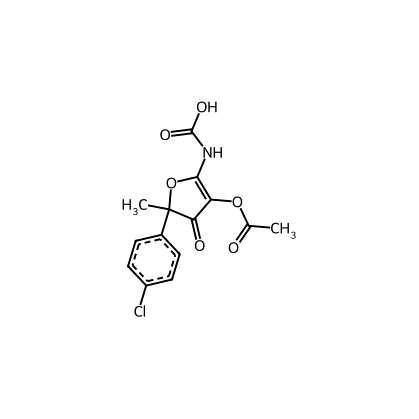 CC(=O)OC1=C(NC(=O)O)OC(C)(c2ccc(Cl)cc2)C1=O